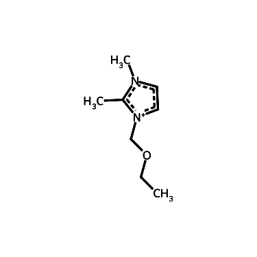 CCOC[n+]1ccn(C)c1C